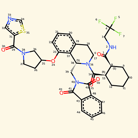 O=C(NCC(F)(F)F)[C@H]1CCCC[C@H]1C(=O)N1CCc2cccc(OC3CCN(C(=O)c4cncs4)C3)c2[C@H]1CN1C(=O)c2ccccc2C1=O